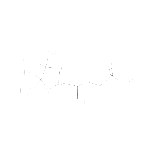 COC(=O)COC(C)B1OC(C)(C)C(C)(C)O1